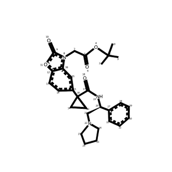 CC(C)(C)OC(=O)Cn1c(=O)oc2ccc(C3(C(=O)N[C@H](CN4CCCC4)c4ccccc4)CC3)cc21